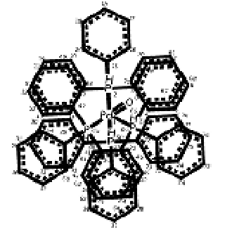 [O]=[Pd]([PH](c1ccccc1)(c1ccccc1)c1ccccc1)([PH](c1ccccc1)(c1ccccc1)c1ccccc1)([PH](c1ccccc1)(c1ccccc1)c1ccccc1)[PH](c1ccccc1)(c1ccccc1)c1ccccc1